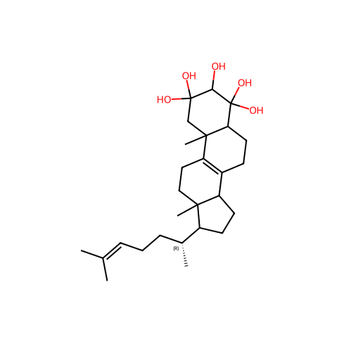 CC(C)=CCC[C@@H](C)C1CCC2C3=C(CCC21C)C1(C)CC(O)(O)C(O)C(O)(O)C1CC3